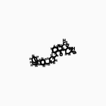 Cc1nc2cccc(CN3CCN(Cc4ccc(C56CC7CC(CC(C7)C5)C6)cc4)CC3)c2c(=O)n1C1CCC(=O)NC1=O